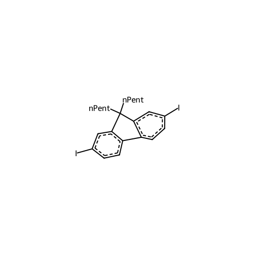 CCCCCC1(CCCCC)c2cc(I)ccc2-c2ccc(I)cc21